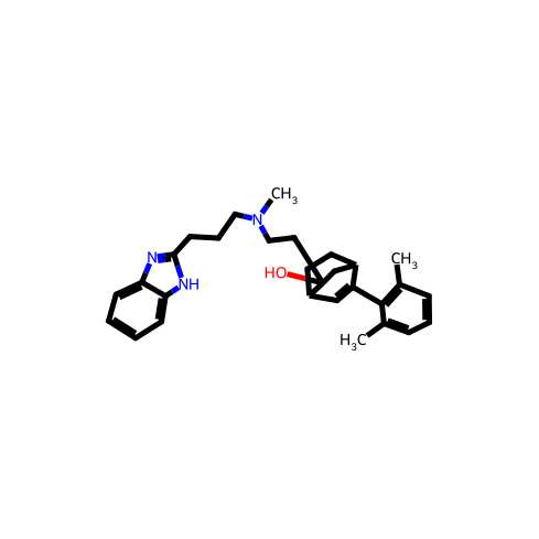 Cc1cccc(C)c1C1=CC2CCC1CC2(O)CCN(C)CCCc1nc2ccccc2[nH]1